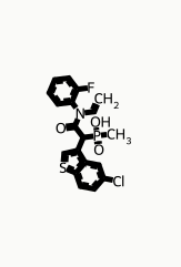 C=CN(C(=O)C(c1csc2ccc(Cl)cc12)P(C)(=O)O)c1ccccc1F